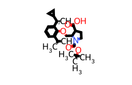 CC(C)c1cccc([C@H](C)C2CC2)c1OCC1C(C(=O)O)CCN1C(=O)OC(C)(C)C